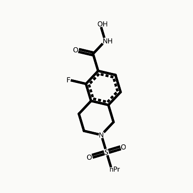 CCCS(=O)(=O)N1CCc2c(ccc(C(=O)NO)c2F)C1